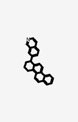 [c]1nccc2ccc(C3CCCc4c3ccc3c4ccc4ccccc43)cc12